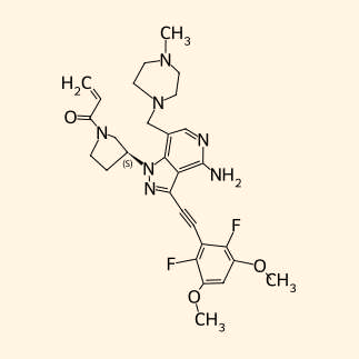 C=CC(=O)N1CC[C@H](n2nc(C#Cc3c(F)c(OC)cc(OC)c3F)c3c(N)ncc(CN4CCN(C)CC4)c32)C1